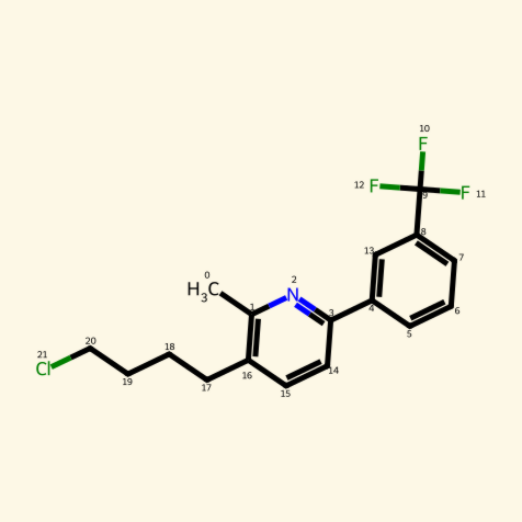 Cc1nc(-c2cccc(C(F)(F)F)c2)ccc1CCCCCl